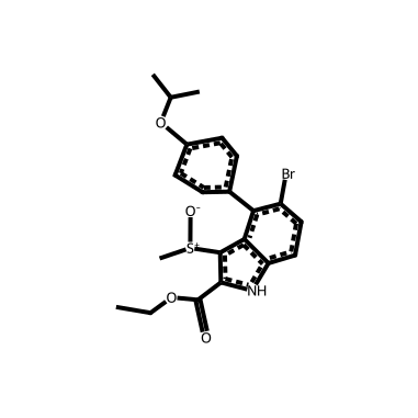 CCOC(=O)c1[nH]c2ccc(Br)c(-c3ccc(OC(C)C)cc3)c2c1[S+](C)[O-]